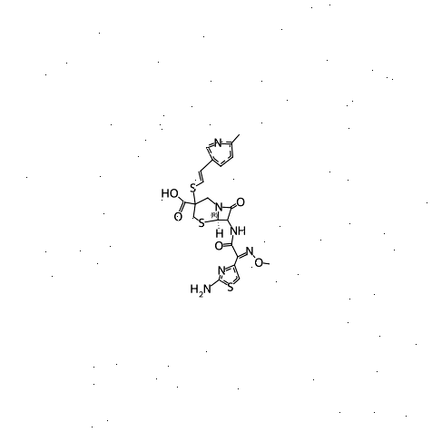 CON=C(C(=O)NC1C(=O)N2CC(SC=Cc3ccc(C)nc3)(C(=O)O)CS[C@H]12)c1csc(N)n1